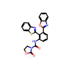 O=C(Nc1cccc(-c2nc3ccccc3o2)c1-c1nc2ccccc2s1)N1CCOC1=O